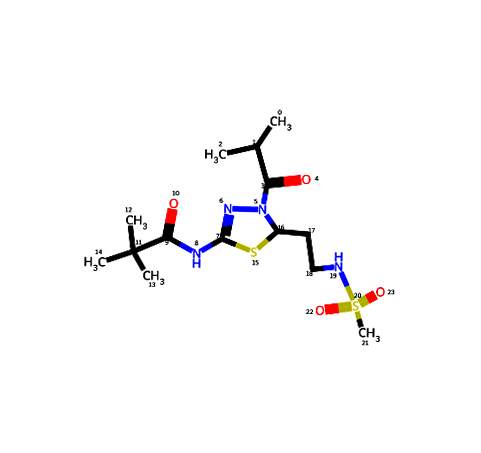 CC(C)C(=O)N1N=C(NC(=O)C(C)(C)C)SC1CCNS(C)(=O)=O